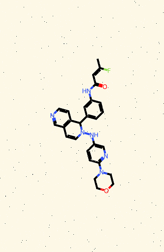 CC(F)=CC(=O)Nc1cccc(C2c3ccncc3C=CN2Nc2ccc(N3CCOCC3)nc2)c1